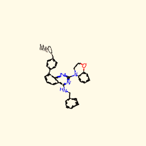 COc1ccc(-c2cccc3c(NCc4ccccc4)nc(N4CCOc5ccccc54)nc23)cc1